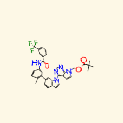 Cc1ccc(NC(=O)c2cccc(C(F)(F)F)c2)cc1-c1ccc2ccn(-c3ncnc4c3ccn4COC(=O)C(C)(C)C)c2c1